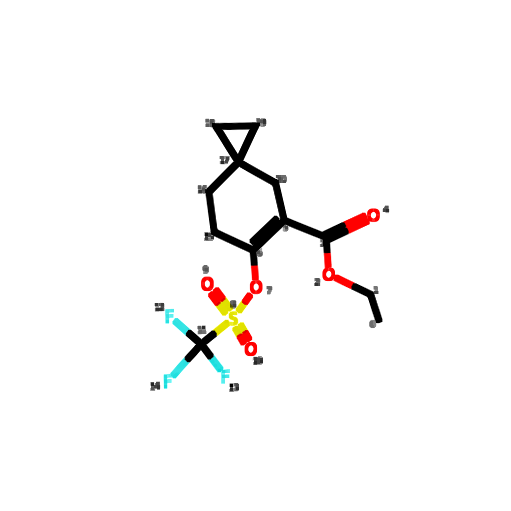 CCOC(=O)C1=C(OS(=O)(=O)C(F)(F)F)CCC2(CC2)C1